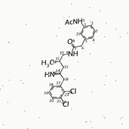 CC(=O)Nc1cccc(CC(=O)NCC(C)CC(=N)Cc2cccc(Cl)c2Cl)c1